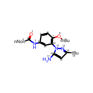 CCCCCCCCCC(=O)Nc1ccc(OCCCC)c(-n2nc(C(C)(C)C)cc2N)c1